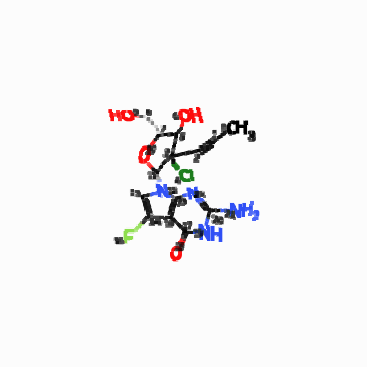 CC#C[C@@]1(Cl)C(O)[C@@H](CO)O[C@H]1n1cc(F)c2c(=O)[nH]c(N)nc21